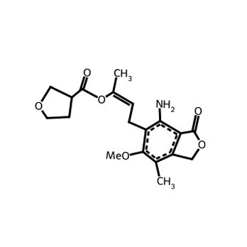 COc1c(C)c2c(c(N)c1CC=C(C)OC(=O)C1CCOC1)C(=O)OC2